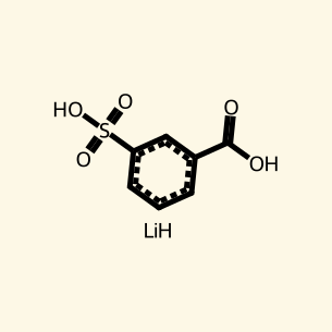 O=C(O)c1cccc(S(=O)(=O)O)c1.[LiH]